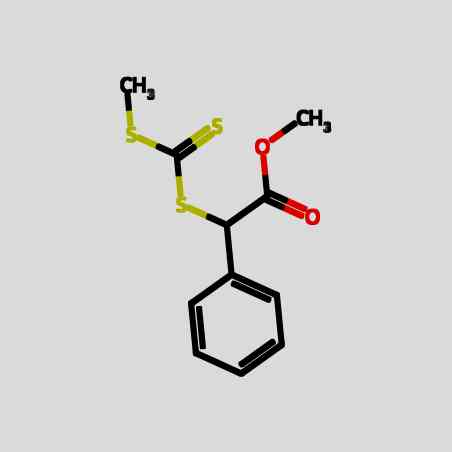 COC(=O)C(SC(=S)SC)c1ccccc1